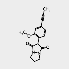 CC#Cc1ccc(C2C(=O)N3CCCN3C2=O)c(OC)c1